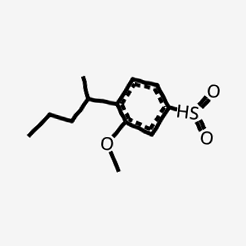 CCCC(C)c1ccc([SH](=O)=O)cc1OC